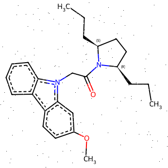 CCC[C@@H]1CC[C@H](CCC)N1C(=O)Cn1c2ccccc2c2ccc(OC)cc21